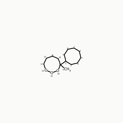 CC1(C2CCCCCCC2)CCCCOOO1